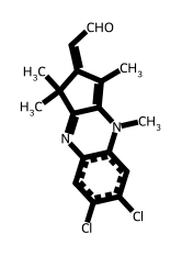 CC1=C2C(=Nc3cc(Cl)c(Cl)cc3N2C)C(C)(C)/C1=C/C=O